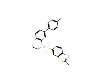 Cc1ccc(-c2ccc3c(c2)N(S(=O)(=O)c2ccc4nc(C)sc4c2)CCS3)cc1